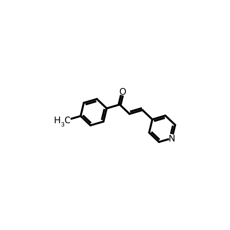 Cc1ccc(C(=O)C=Cc2ccncc2)cc1